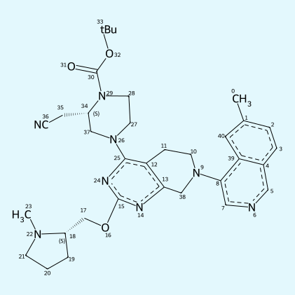 Cc1ccc2cncc(N3CCc4c(nc(OC[C@@H]5CCCN5C)nc4N4CCN(C(=O)OC(C)(C)C)[C@@H](CC#N)C4)C3)c2c1